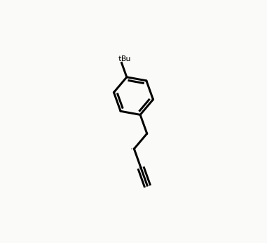 C#C[CH]Cc1ccc(C(C)(C)C)cc1